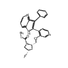 CC(C)(C)OC(=O)N1C[C@@H](F)C[C@H]1COc1cnccc1-c1[nH]c2cccnc2c1-c1ccccc1